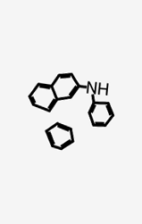 c1ccc(Nc2ccc3ccccc3c2)cc1.c1ccccc1